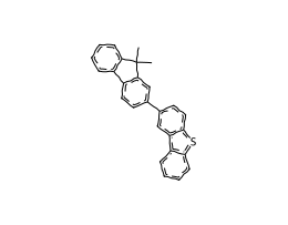 CC1(C)c2ccccc2-c2ccc(-c3ccc4sc5ccccc5c4c3)cc21